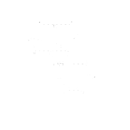 OC12CC3CC(CC(C3)C1c1ccccc1)C2